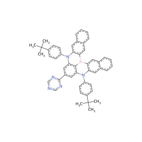 CC(C)(C)c1ccc(N2c3cc4ccccc4cc3B3c4cc5ccccc5cc4N(c4ccc(C(C)(C)C)cc4)c4cc(-c5ncncn5)cc2c43)cc1